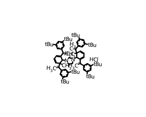 C[C@H](c1cc(C(C)(C)C)cc(C(C)(C)C)c1)C1(C)C=CC=C([C@H](C)c2cc(C(C)(C)C)cc(C(C)(C)C)c2)C1N1CCN(C2C([C@H](C)c3cc(C(C)(C)C)cc(C(C)(C)C)c3)=CC=CC2(C)[C@H](C)c2cc(C(C)(C)C)cc(C(C)(C)C)c2)C1.Cl